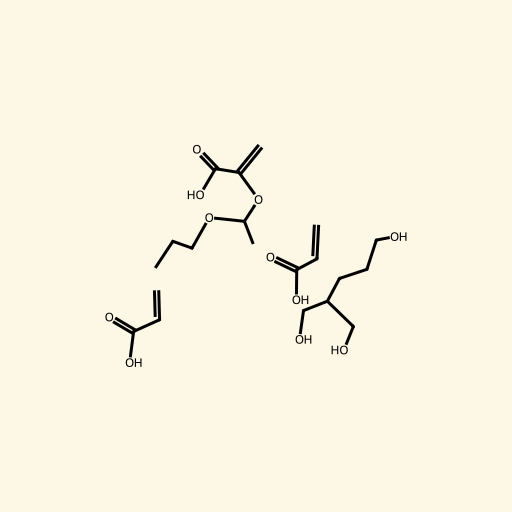 C=C(OC(C)OCCC)C(=O)O.C=CC(=O)O.C=CC(=O)O.OCCCC(CO)CO